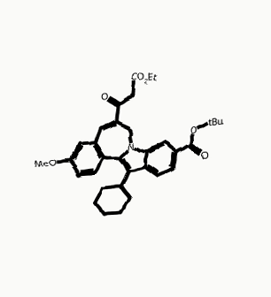 CCOC(=O)CC(=O)C1=Cc2cc(OC)ccc2-c2c(C3CCCCC3)c3ccc(C(=O)OC(C)(C)C)cc3n2C1